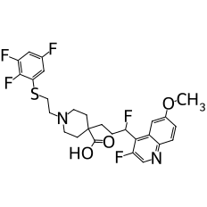 COc1ccc2ncc(F)c(C(F)CCC3(C(=O)O)CCN(CCSc4cc(F)cc(F)c4F)CC3)c2c1